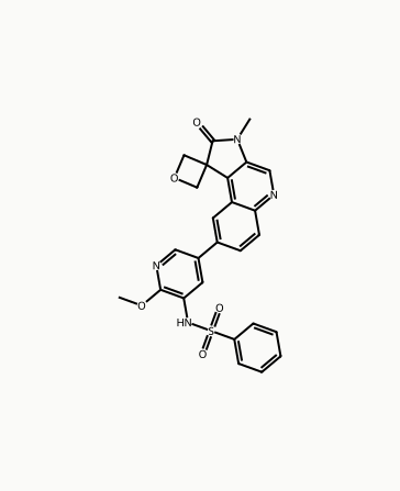 COc1ncc(-c2ccc3ncc4c(c3c2)C2(COC2)C(=O)N4C)cc1NS(=O)(=O)c1ccccc1